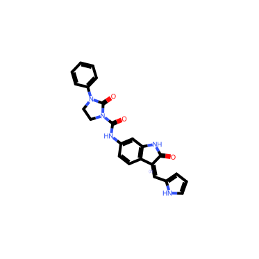 O=C1Nc2cc(NC(=O)N3CCN(c4ccccc4)C3=O)ccc2/C1=C/c1ccc[nH]1